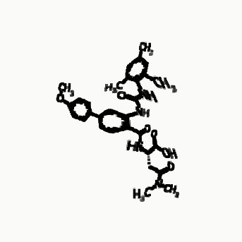 COc1ccc(-c2ccc(C(=O)N[C@@H](CC(=O)N(C)C)C(=O)O)c(NC(=O)Nc3c(C)cc(C)cc3C)c2)cc1